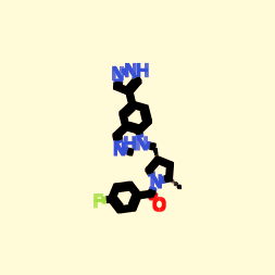 C/N=C\c1cc(-c2cn[nH]c2)ccc1NC[C@@H]1C[C@H](C)N(C(=O)c2ccc(F)cc2)C1